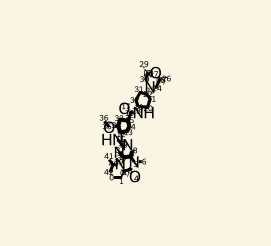 CC[C@@H]1C(=O)N(C)c2cnc(Nc3ccc(C(=O)NC4CCC(N5C[C@@H](C)O[C@@H](C)C5)CC4)cc3OC)nc2N1C(C)C